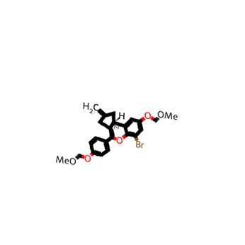 C=C1CC2=C(c3ccc(OCOC)cc3)Oc3c(Br)cc(OCOC)cc3[C@@H]2C1